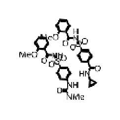 CNC(=O)Nc1ccc(S(=O)(=O)NC(=O)c2ccccc2OC)cc1.COc1ccccc1C(=O)NS(=O)(=O)c1ccc(C(=O)NC2CC2)cc1